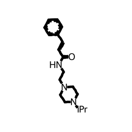 CC(C)N1CCN(CCNC(=O)/C=C/c2ccccc2)CC1